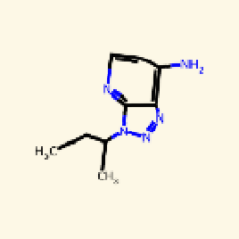 CCC(C)n1nnc2c(N)ccnc21